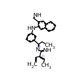 C=C/C(=C\C)C(=N)/N=C(\CC)c1cccc(Nc2cc3ccccc3cc2C=N)c1